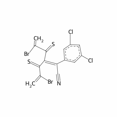 C=C(Br)C(=S)C(C(=S)C(=C)Br)=C(C#N)c1cc(Cl)cc(Cl)c1